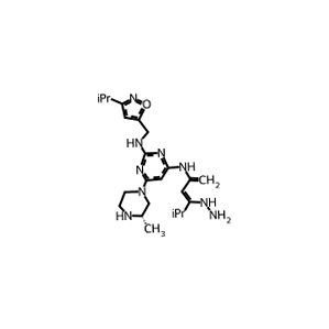 C=C(/C=C(\NN)C(C)C)Nc1cc(N2CCN[C@@H](C)C2)nc(NCc2cc(C(C)C)no2)n1